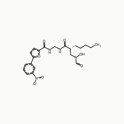 CCCCC[C@H](CN(O)C=O)C(=O)NCNC(=O)c1ccc(-c2cccc([N+](=O)[O-])c2)o1